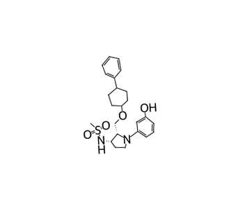 CS(=O)(=O)N[C@H]1CCN(c2cccc(O)c2)[C@H]1COC1CCC(c2ccccc2)CC1